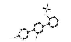 CS(=O)(=O)Nc1ccccc1-c1ccc(-c2cnc(N)nc2)c(F)c1